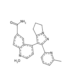 Cc1cccc(-c2nn3c(c2-c2ccnc4ccc(C(N)=O)cc24)CCC3)n1.O